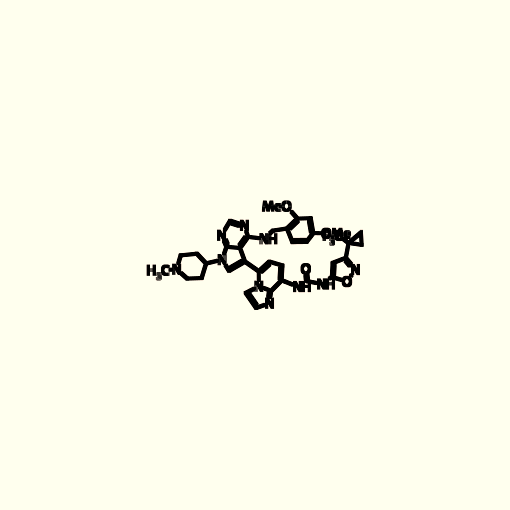 COc1ccc(CNc2ncnc3c2c(-c2ccc(NC(=O)Nc4cc(C5(C(F)(F)F)CC5)no4)c4nccn24)cn3C2CCN(C)CC2)c(OC)c1